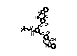 COc1cc2c(cc1OCc1cc(COc3cc4c(cc3OC)C(=O)N3c5ccccc5C[C@H]3CN4)cc(NC(=O)CCC(C)(C)SC)c1)N=C[C@@H]1Cc3ccccc3N1C2O